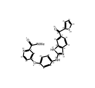 CNC(=O)c1cc(Oc2ccc(Nc3nc4ccc(C(=O)c5cccs5)cc4[nH]3)cc2)ccn1